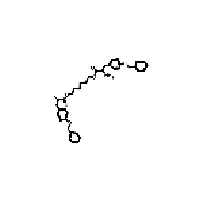 CC(Cc1ccc(OCc2ccccc2)cc1)C(=O)OCCCCCCOC(=O)C(N)Cc1ccc(OCc2ccccc2)cc1